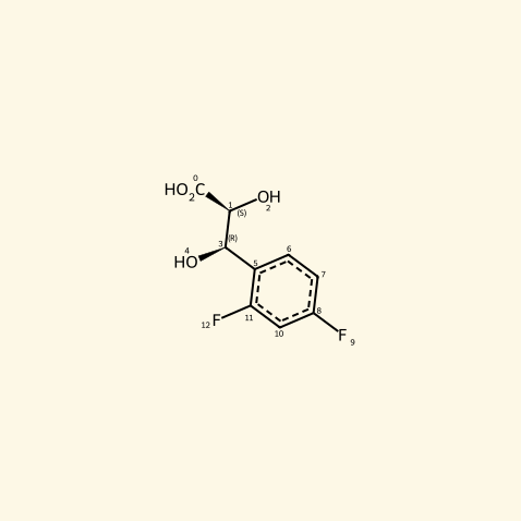 O=C(O)[C@@H](O)[C@H](O)c1ccc(F)cc1F